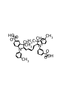 Cc1cccc(N2/C(=C/C=C/C=C/C3=[N+](c4cccc(S(=O)(=O)O)c4)c4ccc(C)cc4C3(C)C)C(C)(C)c3cc(S(=O)(=O)O)ccc32)c1